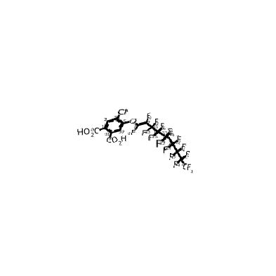 O=C(O)c1cc(Cl)c(OC(F)=C(F)C(F)(F)C(F)(F)C(F)(F)C(F)(F)C(F)(F)C(F)(F)C(F)(F)F)cc1C(=O)O